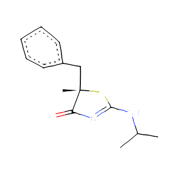 CC(C)NC1=NC(=O)[C@](C)(Cc2ccccc2)S1